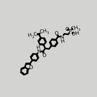 C=C(C)c1ccc(C(Cc2ccc(C(=O)NCCP(C)(=O)O)cc2)C(=O)Nc2ccc(-c3cc4ccccc4o3)cc2)cc1